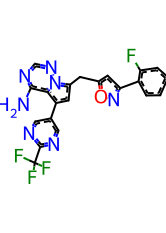 Nc1ncnn2c(Cc3cc(-c4ccccc4F)no3)cc(-c3cnc(C(F)(F)F)nc3)c12